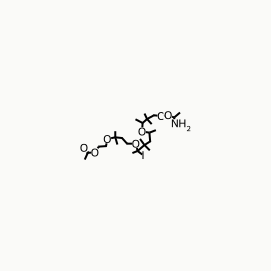 CC(=O)OCCOC(C)(C)CCOC(C)(I)C(C)(C)CC(C)OC(C)C(C)(C)CCOC(C)N